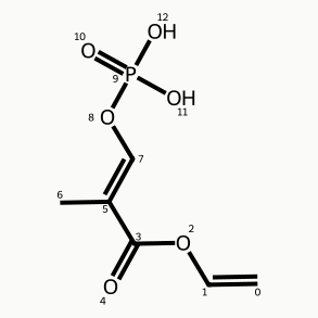 C=COC(=O)C(C)=COP(=O)(O)O